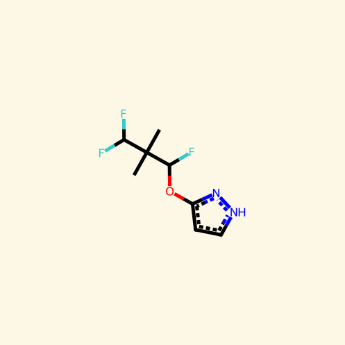 CC(C)(C(F)F)C(F)Oc1cc[nH]n1